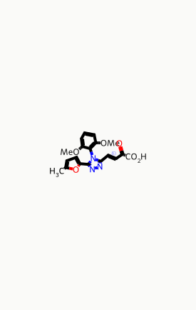 COc1cccc(OC)c1-n1c(/C=C/C(=O)C(=O)O)nnc1-c1ccc(C)o1